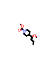 CC/C=C(\OC)C1CCN(C(=O)OC)CC1